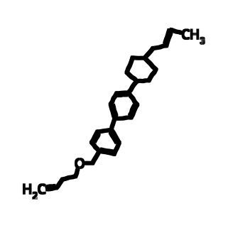 C=CCCOCc1ccc(-c2ccc(C3CCC(CC=CC)CC3)cc2)cc1